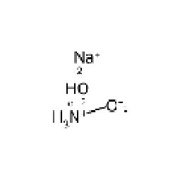 [NH3+][O-].[Na+].[OH-]